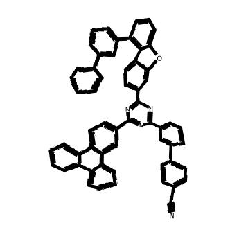 N#Cc1ccc(-c2cccc(-c3nc(-c4ccc5c(c4)oc4cccc(-c6cccc(-c7ccccc7)c6)c45)nc(-c4ccc5c6ccccc6c6ccccc6c5c4)n3)c2)cc1